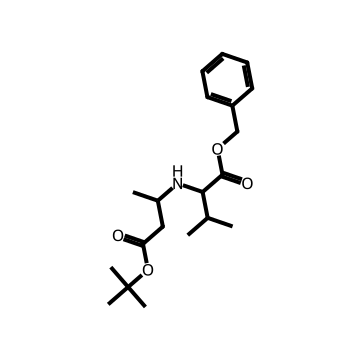 CC(CC(=O)OC(C)(C)C)NC(C(=O)OCc1ccccc1)C(C)C